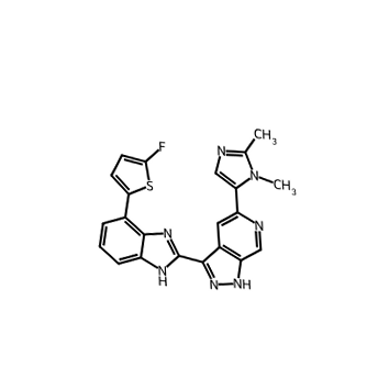 Cc1ncc(-c2cc3c(-c4nc5c(-c6ccc(F)s6)cccc5[nH]4)n[nH]c3cn2)n1C